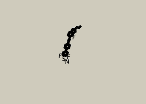 CCCC1=Cc2ccc(C#Cc3ccc(-c4cc(F)c(SC#N)c(F)c4)cc3)c(F)c2C1